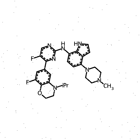 CC(C)N1CCOc2c(F)cc(-c3nc(Nc4ccc(N5CCN(C)CC5)c5cc[nH]c45)ncc3F)cc21